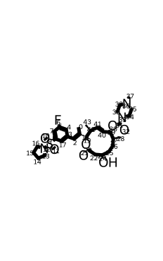 C/C(=C\c1cc(F)cc(S(=O)(=O)N2CCCC2)c1)[C@H]1OC(=O)C[C@H](O)CC[C@H](C)C(OC(=O)N2CCN(C)CC2)/C=C/[C@@H]1C